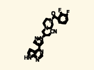 N#CCC(CN1CCN(C(=O)c2cccc(F)c2F)CC1)n1cc(-c2ncnc3[nH]ccc23)cn1